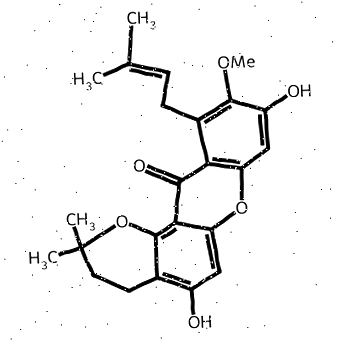 COc1c(O)cc2oc3cc(O)c4c(c3c(=O)c2c1CC=C(C)C)OC(C)(C)CC4